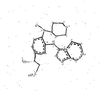 CC[C@@H](CC(=O)O)c1ccc(N(CC)C2CCOCC2)c(Nc2cnc3cnccn23)c1